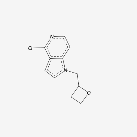 Clc1nccc2c1ccn2CC1CCO1